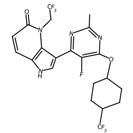 Cc1nc(OC2CCC(C(F)(F)F)CC2)c(F)c(-c2c[nH]c3ccc(=O)n(CC(F)(F)F)c23)n1